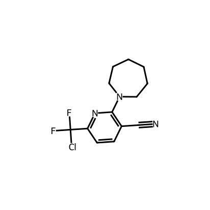 N#Cc1ccc(C(F)(F)Cl)nc1N1CCCCCC1